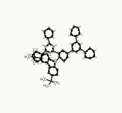 CC(C)(C)c1ccc2c(c1)c1cc(C(C)(C)C)ccc1n2-c1ccc(-c2cc(-c3ccccc3)cc(-c3ccccc3)c2)cc1-c1nc(-c2ccccc2)nc(-c2ccccc2)n1